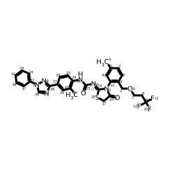 Cc1ccc(COCCC(F)(F)F)c(N2C(=O)CS/C2=N\C(=O)Nc2ccc(-c3ncn(-c4ccccc4)n3)cc2C)c1